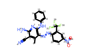 Cc1c(C#N)c(N)nc(Nc2ccccc2)c1N=Nc1ccc([N+](=O)[O-])cc1C(F)(F)F